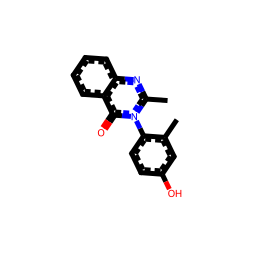 Cc1cc(O)ccc1-n1c(C)nc2ccccc2c1=O